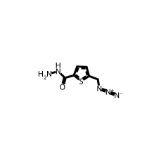 [N-]=[N+]=NCc1ccc(C(=O)NN)s1